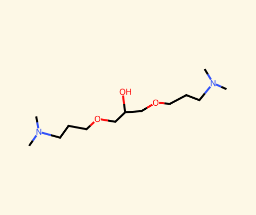 CN(C)CCCOCC(O)COCCCN(C)C